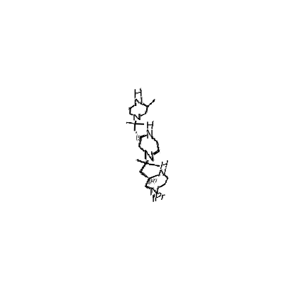 CC1CN(C(C)(C)C[C@H]2CN(C(C)(C)C[C@@H]3CN(C(C)C)CCN3)CCN2)CCN1